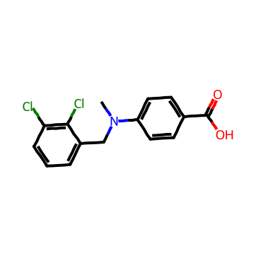 CN(Cc1cccc(Cl)c1Cl)c1ccc(C(=O)O)cc1